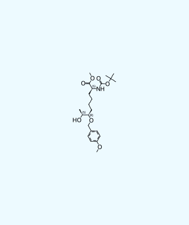 COC(=O)[C@H](CCCC[C@@H](OCc1ccc(OC)cc1)[C@H](C)O)NC(=O)OC(C)(C)C